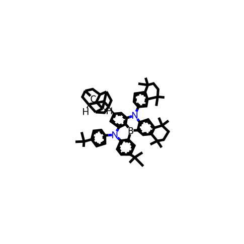 CC(C)(C)c1ccc(N2c3ccc(C(C)(C)C)cc3B3c4cc5c(cc4N(c4ccc6c(c4)C(C)(C)CCC6(C)C)c4cc([C@]67CC8C9CC%10C[C@@H]8C(C6)[C@@H](C%10)C9C7)cc2c43)C(C)(C)CCC5(C)C)cc1